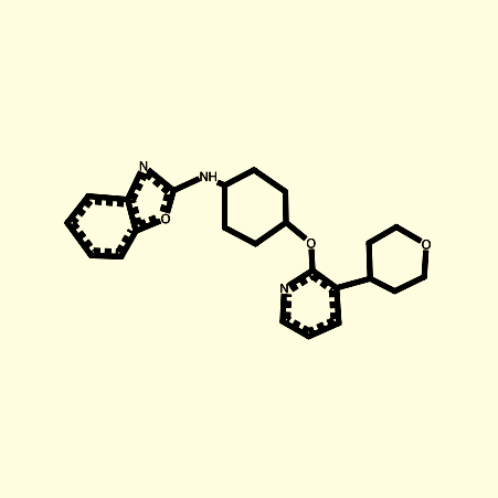 c1cnc(OC2CCC(Nc3nc4ccccc4o3)CC2)c(C2CCOCC2)c1